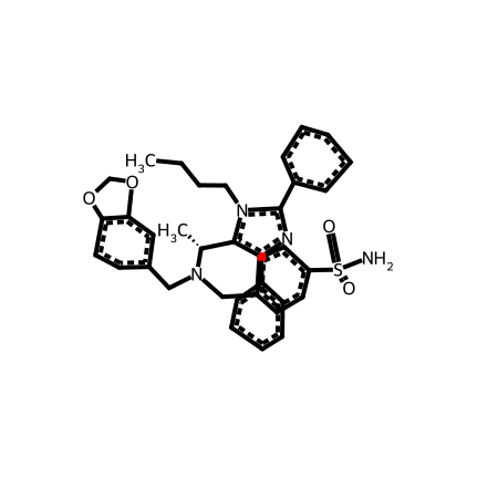 CCCCn1c(-c2ccccc2)nc(-c2ccccc2)c1[C@@H](C)N(Cc1ccc(S(N)(=O)=O)cc1)Cc1ccc2c(c1)OCO2